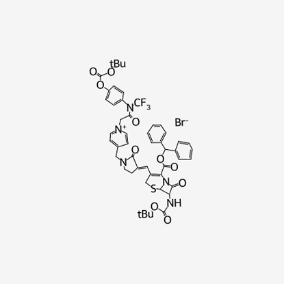 CC(C)(C)OC(=O)NC1C(=O)N2C(C(=O)OC(c3ccccc3)c3ccccc3)=C(C=C3CCN(Cc4cc[n+](CC(=O)N(c5ccc(OC(=O)OC(C)(C)C)cc5)C(F)(F)F)cc4)C3=O)CSC12.[Br-]